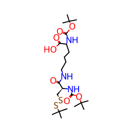 CC(C)(C)OC(=O)NC(CCCCNC(=O)[C@H](CSSC(C)(C)C)NC(=O)OC(C)(C)C)C(=O)O